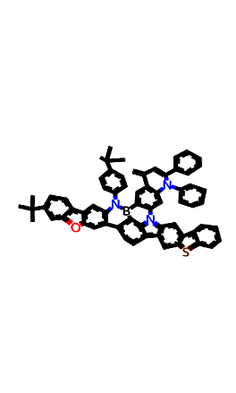 C=C1C=C(c2ccccc2)N(c2ccccc2)c2cc3c(cc21)B1c2c(ccc4c5cc6sc7ccccc7c6cc5n-3c24)-c2cc3oc4cc(C(C)(C)C)ccc4c3cc2N1c1ccc(C(C)(C)C)cc1